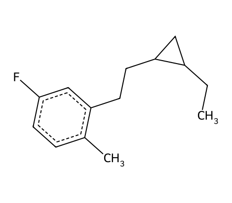 CCC1CC1CCc1cc(F)ccc1C